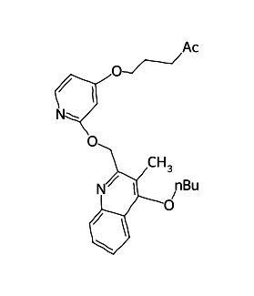 CCCCOc1c(C)c(COc2cc(OCCCC(C)=O)ccn2)nc2ccccc12